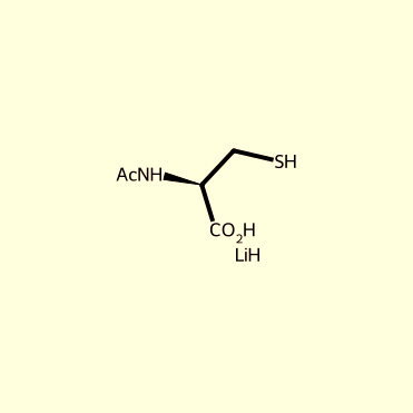 CC(=O)N[C@@H](CS)C(=O)O.[LiH]